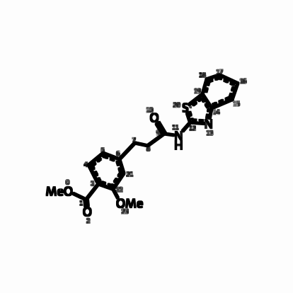 COC(=O)c1ccc(CCC(=O)Nc2nc3ccccc3s2)cc1OC